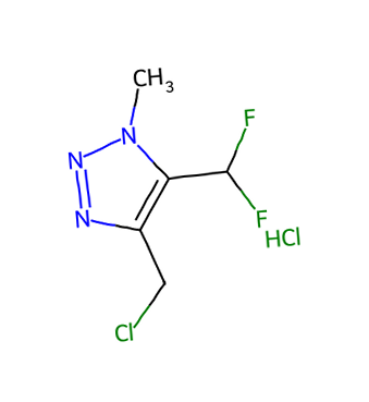 Cl.Cn1nnc(CCl)c1C(F)F